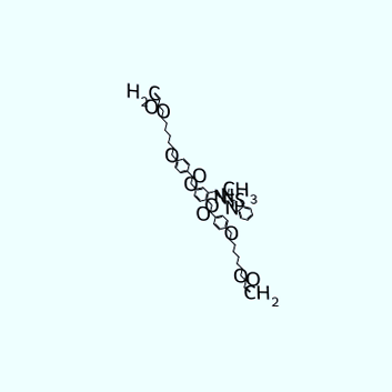 C=CC(=O)OCCCCCCOc1ccc(C(=O)Oc2ccc(OC(=O)c3ccc(OCCCCCCOC(=O)C=C)cc3)c(/C=N/N(C)c3nc4ccccc4s3)c2)cc1